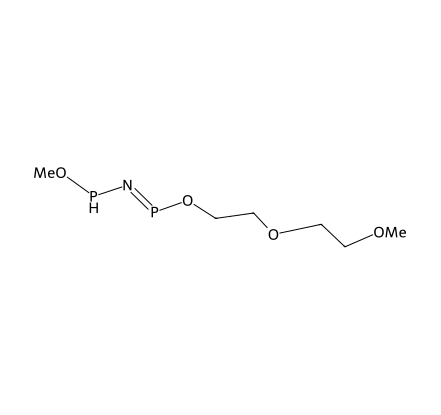 COCCOCCOP=NPOC